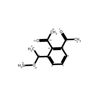 CC(=O)c1cccc(C(C)O[SiH3])c1C(C)=O